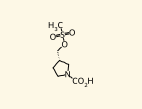 CS(=O)(=O)OC[C@H]1CCN(C(=O)O)C1